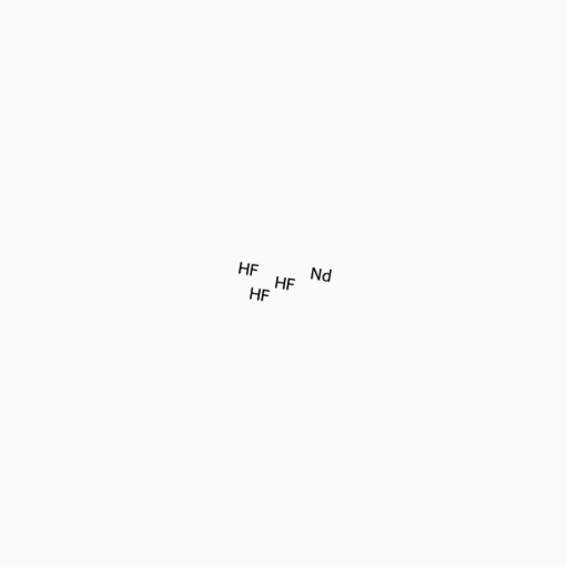 F.F.F.[Nd]